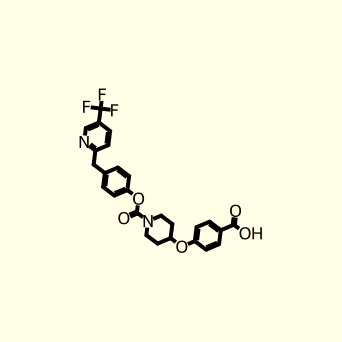 O=C(O)c1ccc(OC2CCN(C(=O)Oc3ccc(Cc4ccc(C(F)(F)F)cn4)cc3)CC2)cc1